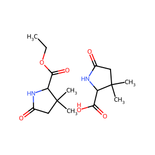 CC1(C)CC(=O)NC1C(=O)O.CCOC(=O)C1NC(=O)CC1(C)C